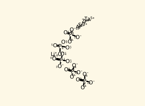 O=P([O-])([O-])[O-].O=P([O-])([O-])[O-].O=P([O-])([O-])[O-].O=P([O-])([O-])[O-].O=P([O-])([O-])[O-].[Al+3].[Li+].[Sr+2].[Ta+5].[Zr+4]